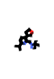 CC(C)c1ccc(C2CCOC2)c(CNC(C)(C)C)n1